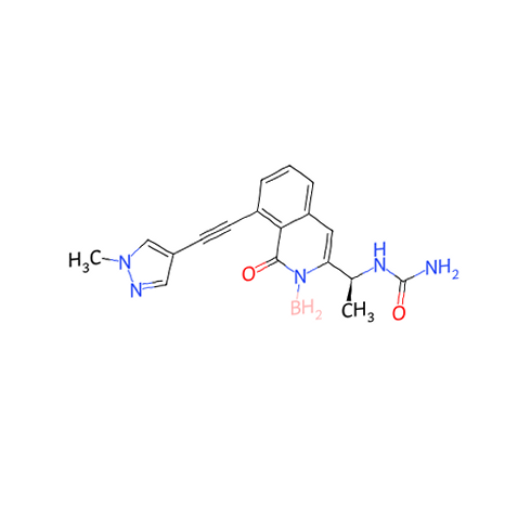 Bn1c([C@H](C)NC(N)=O)cc2cccc(C#Cc3cnn(C)c3)c2c1=O